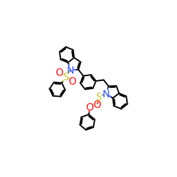 O=S(=O)(c1ccccc1)n1c(-c2cccc(Cc3cc4ccccc4n3SOOc3ccccc3)c2)cc2ccccc21